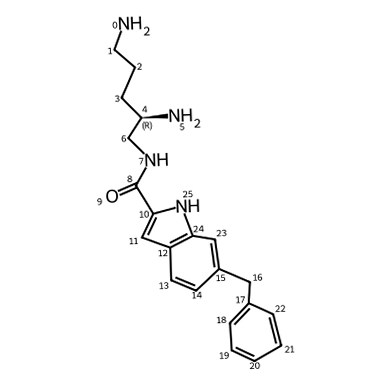 NCCC[C@@H](N)CNC(=O)c1cc2ccc(Cc3ccccc3)cc2[nH]1